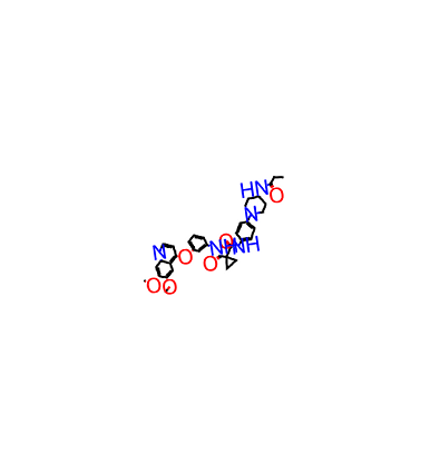 CCC(=O)NC1CCN(c2ccc(NC(=O)C3(C(=O)Nc4cccc(Oc5ccnc6cc(OC)c(OC)cc56)c4)CC3)cc2)CC1